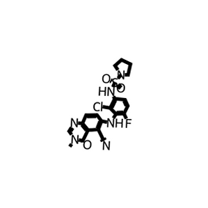 Cn1cnc2ccc(Nc3c(F)ccc(NS(=O)(=O)N4CCCC4)c3Cl)c(C#N)c2c1=O